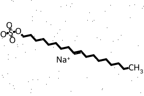 CCCCCCCCC=CCCCCCCCCOS(=O)(=O)[O-].[Na+]